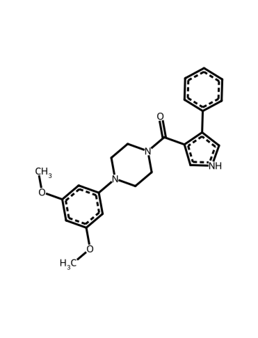 COc1cc(OC)cc(N2CCN(C(=O)c3c[nH]cc3-c3ccccc3)CC2)c1